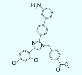 COC(=O)c1ccc(Cn2cc(-c3ccc(Cl)cc3Cl)nc2-c2ccc(-c3cccc(N)c3)cc2)cc1